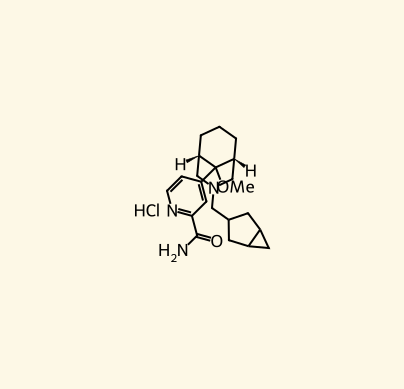 COC1(c2ccnc(C(N)=O)c2)[C@@H]2CCC[C@H]1CN(CC1CC3CC3C1)C2.Cl